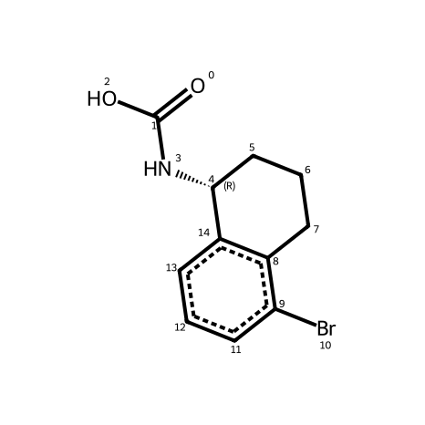 O=C(O)N[C@@H]1CCCc2c(Br)cccc21